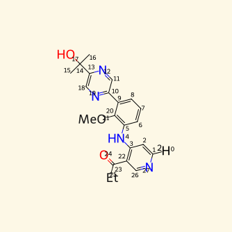 [2H]c1cc(Nc2cccc(-c3cnc(C(C)(C)O)cn3)c2OC)c(C(=O)CC)cn1